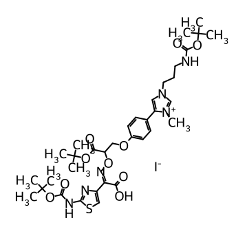 C[n+]1cn(CCCNC(=O)OC(C)(C)C)cc1-c1ccc(OCC(O/N=C(\C(=O)O)c2csc(NC(=O)OC(C)(C)C)n2)C(=O)OC(C)(C)C)cc1.[I-]